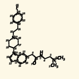 CN(C)CCNC(=O)Cc1ccc2ccn(C3CCN(CCc4ccc(F)cc4)CC3)c2c1